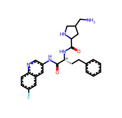 NCC1CNC(C(=O)N[C@H](CCc2ccccc2)C(=O)Nc2cnc3ccc(F)cc3c2)C1